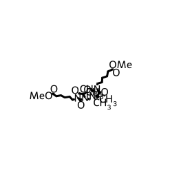 COC(=O)CCCCCN1C(=O)N(CN2C(=O)N(CCCCCC(=O)OC)C(=O)C2(C)C)C(C)(C)C1=O